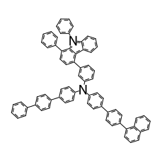 c1ccc(-c2ccc(-c3ccc(N(c4ccc(-c5ccc(-c6cccc7ccccc67)cc5)cc4)c4cccc(-c5ccc(-c6ccccc6)c6c5c5ccccc5n6-c5ccccc5)c4)cc3)cc2)cc1